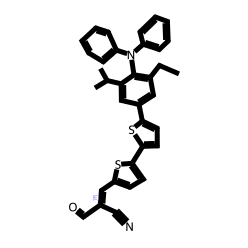 CCc1cc(-c2ccc(-c3ccc(/C=C(\C#N)C=O)s3)s2)cc(C(C)C)c1N(c1ccccc1)c1ccccc1